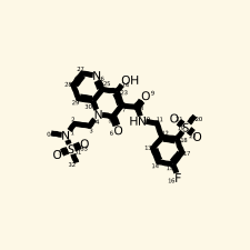 CN(CCn1c(=O)c(C(=O)NCc2ccc(F)cc2S(C)(=O)=O)c(O)c2ncccc21)S(C)(=O)=O